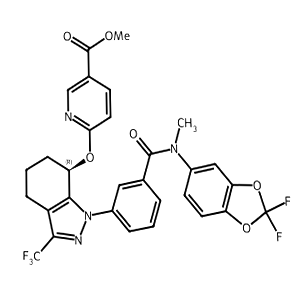 COC(=O)c1ccc(O[C@@H]2CCCc3c(C(F)(F)F)nn(-c4cccc(C(=O)N(C)c5ccc6c(c5)OC(F)(F)O6)c4)c32)nc1